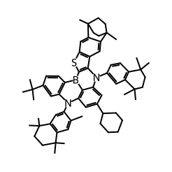 Cc1cc2c(cc1N1c3cc(C(C)(C)C)ccc3B3c4sc5cc6c(cc5c4N(c4ccc5c(c4)C(C)(C)CCC5(C)C)c4cc(C5CCCCC5)cc1c43)C1(C)CCC6(C)CC1)C(C)(C)CCC2(C)C